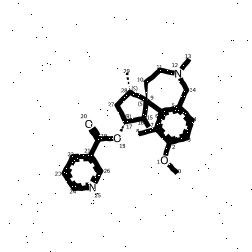 COc1ccc2c(c1C)[C@]1(CCN(C)C2)C(C)[C@H](OC(=O)c2cccnc2)C[C@@H]1C